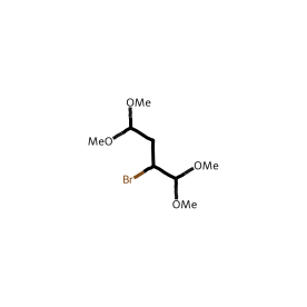 COC(CC(Br)C(OC)OC)OC